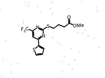 COC(=O)CCCSc1nc(-c2cccs2)cc(C(F)(F)F)n1